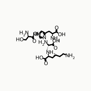 C[C@H](N)C(=O)O.NCCCC[C@H](N)C(=O)O.N[C@@H](Cc1c[nH]cn1)C(=O)O.N[C@H](CO)C(=O)O